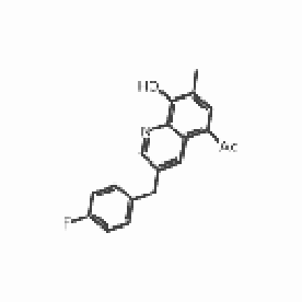 CC(=O)c1cc(C)c(O)c2ncc(Cc3ccc(F)cc3)cc12